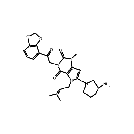 CC(C)=CCn1c(N2CCCC(N)C2)nc2c1c(=O)n(CC(=O)c1cccc3c1OCO3)c(=O)n2C